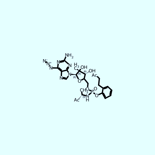 CC(=O)CCc1ccccc1OP(=O)(N[C@@H](C)C(C)=O)OCC1O[C@@H](n2cnc3c(N=[N+]=[N-])nc(N)nc32)[C@](C)(O)[C@@H]1O